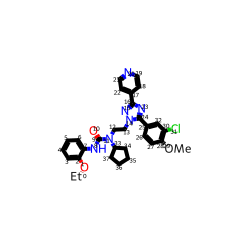 CCOc1ccccc1NC(=O)N(CCn1nc(-c2ccncc2)nc1-c1ccc(OC)c(Cl)c1)C1CCCC1